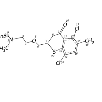 CCCCN(C)CCOCC1CC(=O)c2c(Cl)c(C)cc(Cl)c2S1